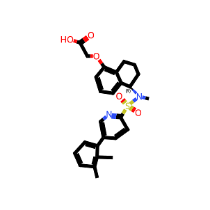 Cc1cccc(-c2ccc(S(=O)(=O)N(C)[C@@H]3CCCc4c(OCC(=O)O)cccc43)nc2)c1C